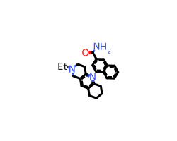 CCN1CCc2nc3c(cc2C1)CCCC3.NC(=O)c1ccc2ccccc2c1